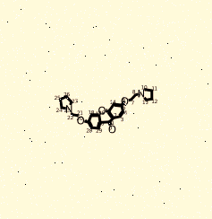 O=c1c2ccc(OCCN3CCCC3)cc2oc2cc(OCCN3CCCC3)ccc12